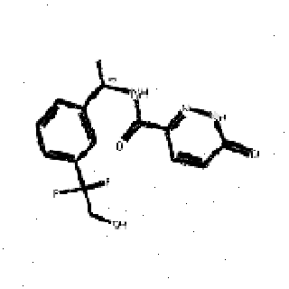 C[C@@H](NC(=O)c1ccc(=O)[nH]n1)c1cccc(C(F)(F)CO)c1